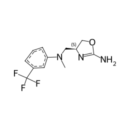 CN(C[C@H]1COC(N)=N1)c1cccc(C(F)(F)F)c1